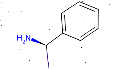 N[C@H](I)c1ccccc1